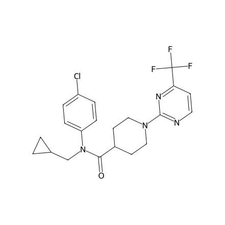 O=C(C1CCN(c2nccc(C(F)(F)F)n2)CC1)N(CC1CC1)c1ccc(Cl)cc1